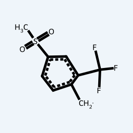 [CH2]c1ccc(S(C)(=O)=O)cc1C(F)(F)F